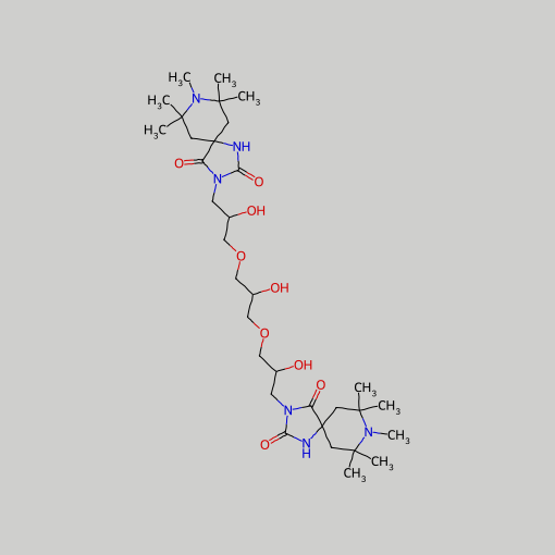 CN1C(C)(C)CC2(CC1(C)C)NC(=O)N(CC(O)COCC(O)COCC(O)CN1C(=O)NC3(CC(C)(C)N(C)C(C)(C)C3)C1=O)C2=O